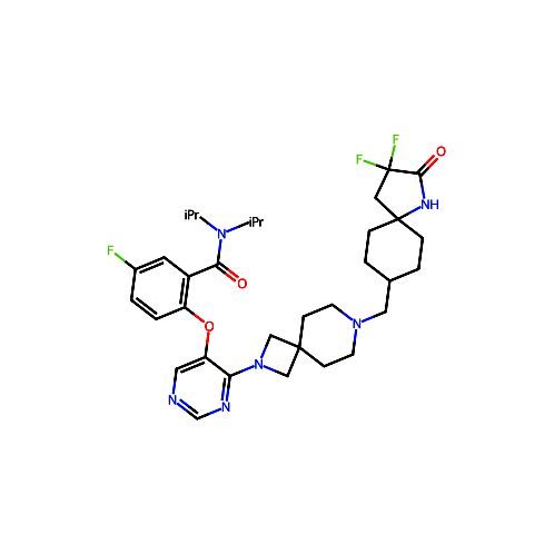 CC(C)N(C(=O)c1cc(F)ccc1Oc1cncnc1N1CC2(CCN(CC3CCC4(CC3)CC(F)(F)C(=O)N4)CC2)C1)C(C)C